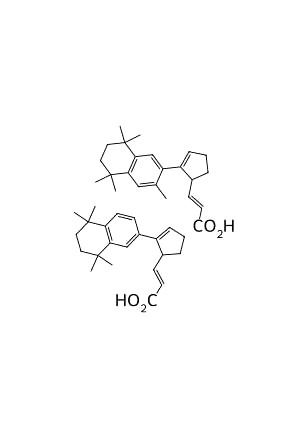 CC1(C)CCC(C)(C)c2cc(C3=CCCC3C=CC(=O)O)ccc21.Cc1cc2c(cc1C1=CCCC1C=CC(=O)O)C(C)(C)CCC2(C)C